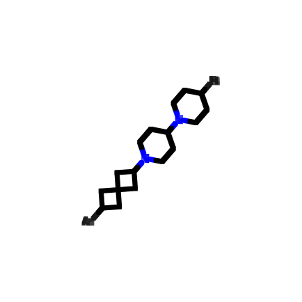 CCC1CCN(C2CCN(C3CC4(CC(C(C)=O)C4)C3)CC2)CC1